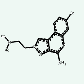 CCN(CCn1cc2c(n1)c(N)nc1cc(Br)ccc12)C(C)=O